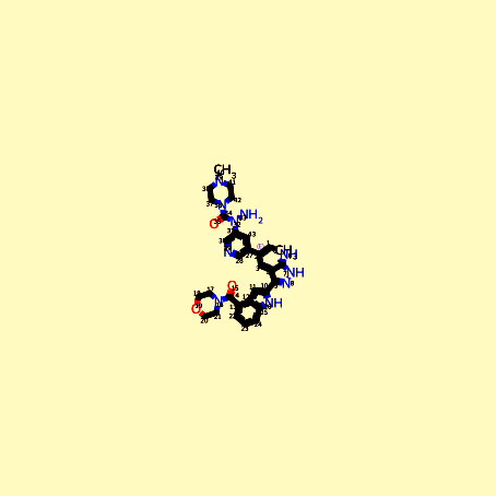 C/C=C(\C=C1/C(=N)NN=C1c1cc2c(C(=O)N3CCOCC3)cccc2[nH]1)c1cncc(N(N)C(=O)N2CCN(C)CC2)c1